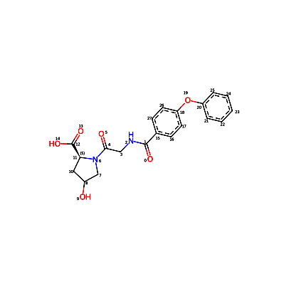 O=C(NCC(=O)N1CC(O)C[C@H]1C(=O)O)c1ccc(Oc2ccccc2)cc1